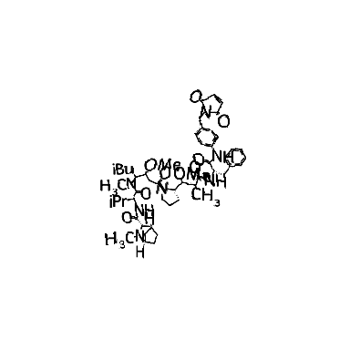 CC[C@H](C)[C@@H]([C@H](CC(=O)N1CCC[C@H]1[C@H](OC)[C@@H](C)C(=O)N[C@@H](Cc1ccccc1)C(=O)Nc1ccc(CN2C(=O)C=CC2=O)cc1)OC)N(C)C(=O)[C@@H](NC(=O)[C@@H]1[C@H]2CC[C@H](C2)N1C)C(C)C